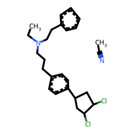 CC#N.CCN(CCCc1ccc(C2CC(Cl)C(Cl)C2)cc1)CCc1ccccc1